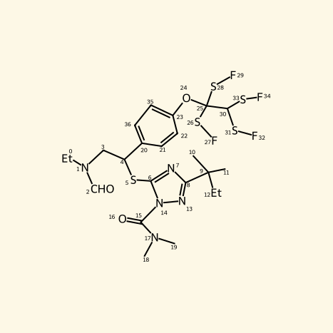 CCN(C=O)CC(Sc1nc(C(C)(C)CC)nn1C(=O)N(C)C)c1ccc(OC(SF)(SF)C(SF)SF)cc1